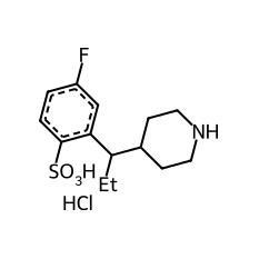 CCC(c1cc(F)ccc1S(=O)(=O)O)C1CCNCC1.Cl